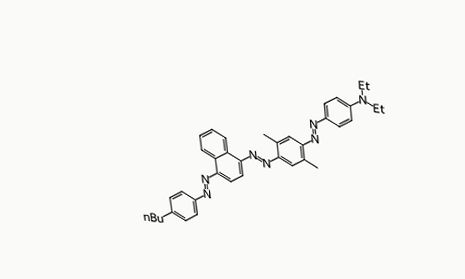 CCCCc1ccc(N=Nc2ccc(N=Nc3cc(C)c(N=Nc4ccc(N(CC)CC)cc4)cc3C)c3ccccc23)cc1